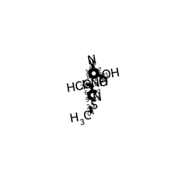 CCCSc1ccc(C(=O)Nc2ccc(C#N)cc2C(=O)O)cn1.Cl